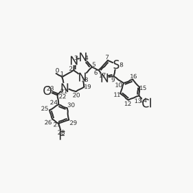 CC1c2nnc(-c3csc(-c4ccc(Cl)cc4)n3)n2CCN1C(=O)c1ccc(F)cc1